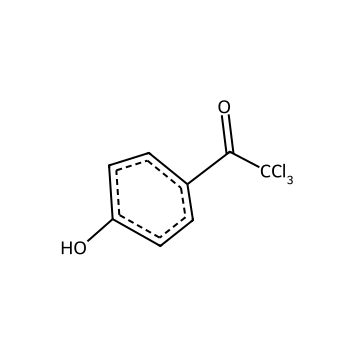 O=C(c1ccc(O)cc1)C(Cl)(Cl)Cl